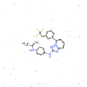 C=C(C)Nc1ccc(Nc2nc3cccc(-c4cccc(CC(F)(F)F)c4)n3n2)cc1